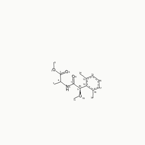 COC(=O)C(C)NC(=O)[C@H](OC)c1c(C)cccc1C